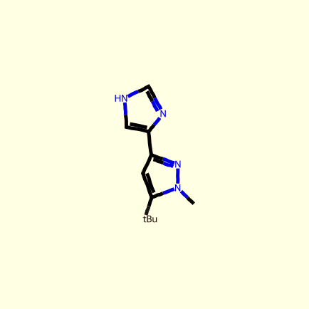 Cn1nc(-c2c[nH]cn2)cc1C(C)(C)C